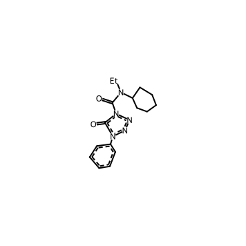 CCN(C(=O)n1nnn(-c2ccccc2)c1=O)C1CCCCC1